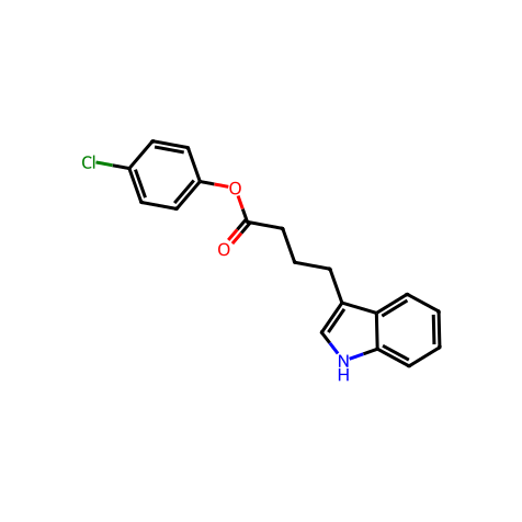 O=C(CCCc1c[nH]c2ccccc12)Oc1ccc(Cl)cc1